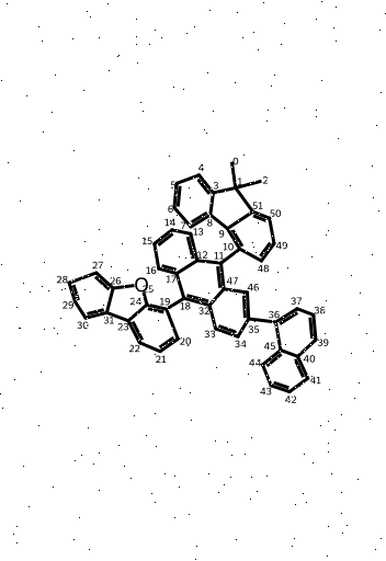 CC1(C)c2ccccc2-c2c(-c3c4ccccc4c(-c4cccc5c4oc4ccccc45)c4ccc(-c5cccc6ccccc56)cc34)cccc21